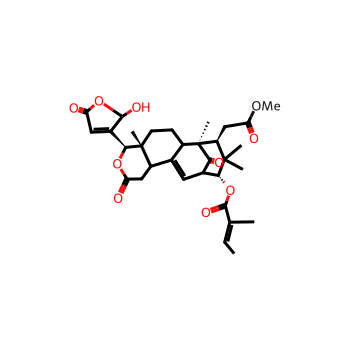 C/C=C(\C)C(=O)O[C@@H]1C2C=C3C(CC[C@]4(C)C3CC(=O)O[C@H]4C3=CC(=O)OC3O)[C@](C)(C2=O)[C@@H](CC(=O)OC)C1(C)C